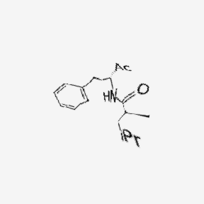 CC(=O)[C@@H](Cc1ccccc1)NC(=O)[C@@H](C)CC(C)C